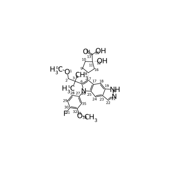 COCC(C)(C)c1c([C@@H]2CC[C@@](O)(C(=O)O)C2)c2cc3[nH]ncc3cc2n1-c1ccc(F)c(OC)c1